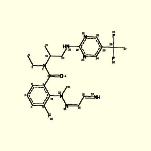 CCN(C(=O)c1cccc(F)c1N(C)/N=C\C=N)C(C)CNc1ncc(C(C)(F)F)cn1